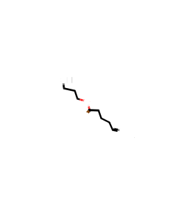 C=CCCCC(=S)OCCCC